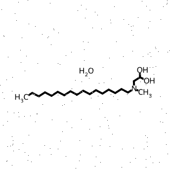 CCCCCCCCCCCCCCCCCN(C)CC(O)O.O